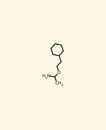 CC(N)OCCC1CCCCC1